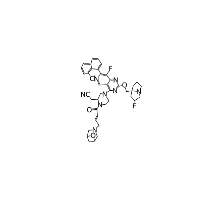 N#CC[C@H]1CN(c2nc(OC[C@@]34CCCN3C[C@H](F)C4)nc3c(F)c(-c4cccc5cccc(Cl)c45)ncc23)CCN1C(=O)/C=C/CN1CC2CC(C1)O2